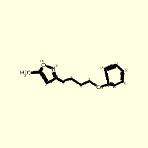 Cc1cc(CCCCOc2ccccc2)no1